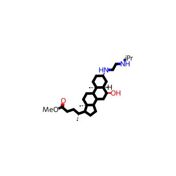 COC(=O)CC[C@@H](C)C1CCC2C3C[C@H](O)[C@@H]4C[C@@H](NCCNC(C)C)CC[C@]4(C)C3CC[C@@]21C